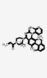 C=CC(=O)N1CCN(c2nc(=O)n(-c3c(C)ccnc3C(C)C)c3c4c(c(C(F)(F)F)cc23)-c2c(F)cccc2CO4)[C@@H](C)C1